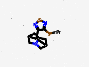 CCCSc1nsnc1C1C2CC3CC1CN3C2